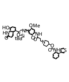 COc1cc(NC(=O)CCN2CCC(OC(=O)Nc3ccccc3-c3ccsc3)CC2)c(Cl)cc1CNC[C@@H](O[Si](C)(C)C(C)(C)C)c1ccc(O)c2[nH]c(=O)ccc12